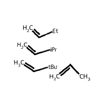 C=CC.C=CC(C)(C)C.C=CC(C)C.C=CCC